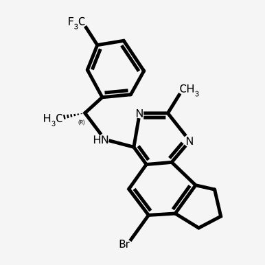 Cc1nc(N[C@H](C)c2cccc(C(F)(F)F)c2)c2cc(Br)c3c(c2n1)CCC3